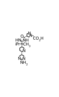 CC(C)[C@@](C)(C(=N)NC(=O)c1cnn(CC(=O)O)c1)c1ccc(-c2cnc(N)nc2)nc1